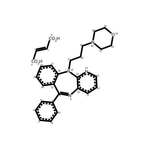 O=C(O)C=CC(=O)O.c1ccc(C2=Nc3cccnc3N(CCCN3CCOCC3)c3ccccc32)cc1